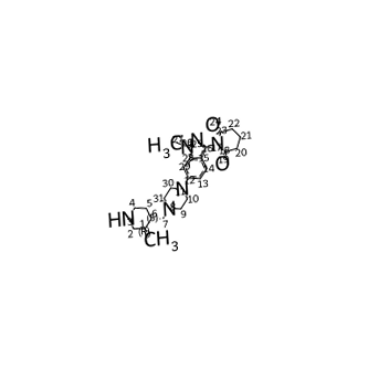 C[C@H]1CNCC[C@@H]1CN1CCN(c2ccc3c(N4C(=O)CCCC4=O)nn(C)c3c2)CC1